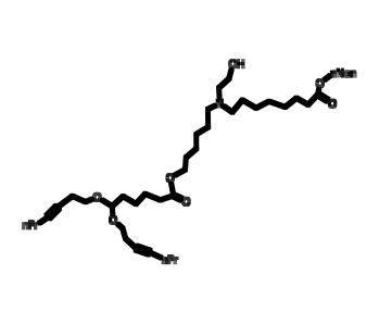 CCCC#CCCOC(CCCCC(=O)OCCCCCCN(CCO)CCCCCCCC(=O)OCCCCCCCCC)OCCC#CCCC